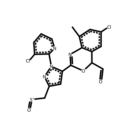 Cc1cc(Cl)cc2c1N=C(c1cc(C[S+]=O)nn1-c1ncccc1Cl)OC2C=O